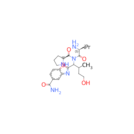 CC(CCO)C(c1nc2cc(C(N)=O)ccc2o1)N(C(=O)[C@@H]1CCCN1)C(=O)[C@@H](N)C(C)C